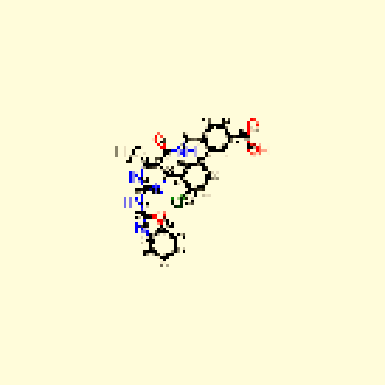 CC1=C(C(=O)NCc2ccc(C(=O)O)cc2)C(c2ccccc2Cl)N=C(Nc2nc3ccccc3o2)N1